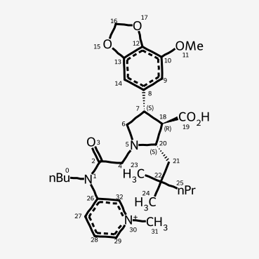 CCCCN(C(=O)CN1C[C@H](c2cc(OC)c3c(c2)OCO3)[C@@H](C(=O)O)[C@@H]1CC(C)(C)CCC)c1ccc[n+](C)c1